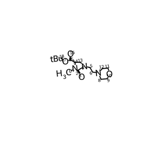 CN1C(=O)N(CCN2CCOCC2)CC1C(=O)OC(C)(C)C